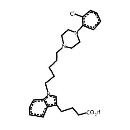 O=C(O)CCCc1cn(CCCCCN2CCN(c3ccccc3Cl)CC2)c2ccccc12